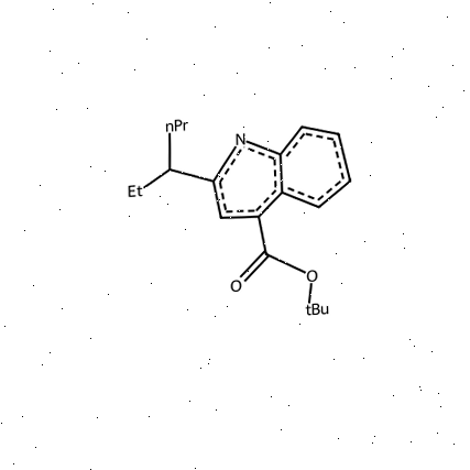 CCCC(CC)c1cc(C(=O)OC(C)(C)C)c2ccccc2n1